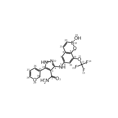 NC(=O)c1c(Nc2cc3c(c(OC(F)(F)F)c2)OB(O)C=C3)n[nH]c1C1=CC=COC1